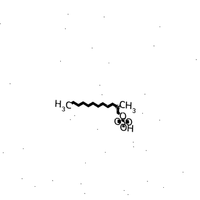 CCCCCCCCCC[C@H](C)COS(=O)(=O)O